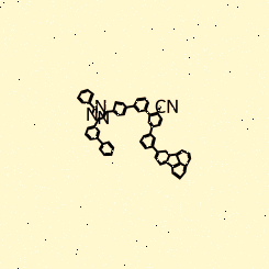 N#Cc1ccc(-c2cccc(C3=CC=C4c5cccc6cccc(c56)C4C3)c2)cc1-c1cccc(-c2ccc(-c3nc(-c4ccccc4)nc(-c4cccc(-c5ccccc5)c4)n3)cc2)c1